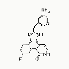 Nc1cncc(Sc2nc3c4ccc(F)cc4c4c(=O)[nH]ccc4c3[nH]2)c1